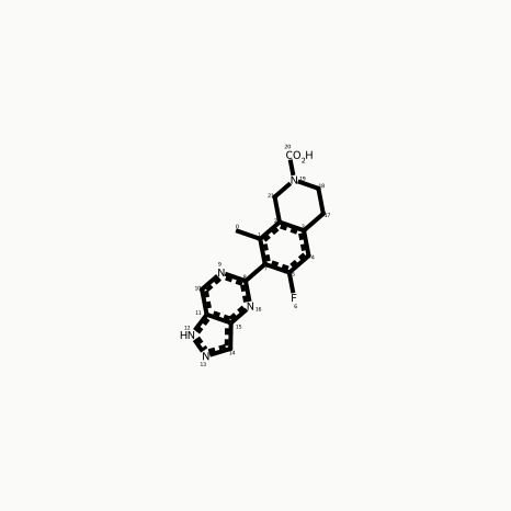 Cc1c2c(cc(F)c1-c1ncc3[nH]ncc3n1)CCN(C(=O)O)C2